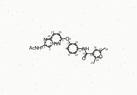 CC(=O)Nc1cn2nc(Oc3cccc(NC(=O)c4cc(C)oc4C)c3)ccc2n1